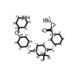 CC(C)(C)OC(=O)N1CCC[C@H](CN2CCN(C[C@H]3CC[C@H](OC4CCNCC4)CC3)CC2(C)C)C1